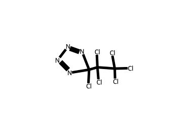 ClC(Cl)(Cl)C(Cl)(Cl)C1(Cl)N=NN=N1